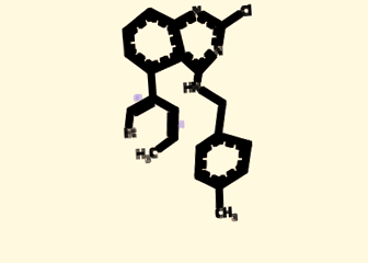 C/C=C\C(=C/CC)c1cccc2nc(Cl)nc(NCc3ccc(C)cc3)c12